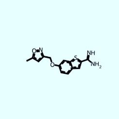 Cc1cc(COc2ccc3cc(C(=N)N)sc3c2)no1